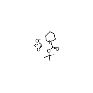 CC(C)(C)OC(=O)N1CCCCC1.O=C[O-].[K+]